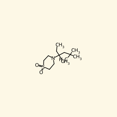 CCC(C)(CC(C)(C)C)N1CCS(=O)(=O)CC1